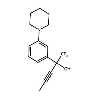 CC#CC(O)(c1cccc(N2CCCCC2)c1)C(F)(F)F